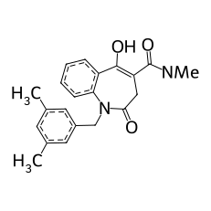 CNC(=O)C1=C(O)c2ccccc2N(Cc2cc(C)cc(C)c2)C(=O)C1